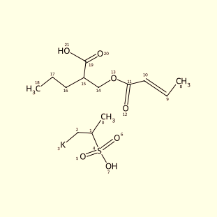 CC([CH2][K])S(=O)(=O)O.CC=CC(=O)OCC(CCC)C(=O)O